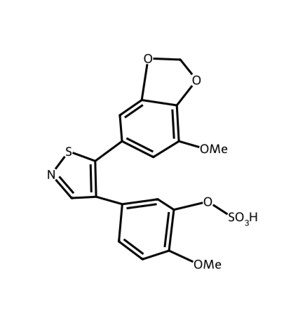 COc1ccc(-c2cnsc2-c2cc(OC)c3c(c2)OCO3)cc1OS(=O)(=O)O